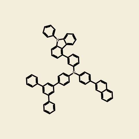 c1ccc(-c2cc(-c3ccccc3)cc(-c3ccc(N(c4ccc(-c5ccc6ccccc6c5)cc4)c4cccc(-c5cccc6c5c5ccccc5n6-c5ccccc5)c4)cc3)c2)cc1